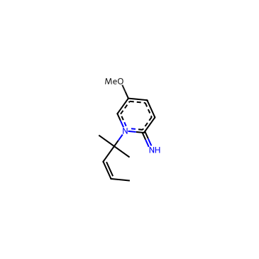 C/C=C\C(C)(C)n1cc(OC)ccc1=N